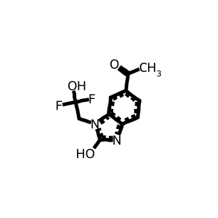 CC(=O)c1ccc2nc(O)n(CC(O)(F)F)c2c1